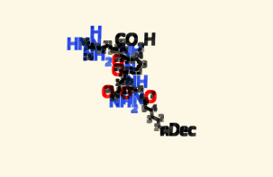 CCCCCCCCCCCCCCCC(=O)NCC(=O)NC(CCC(N)=O)C(=O)N1CCCC1C(=O)NC(CCCNC(=N)N)C(=O)O